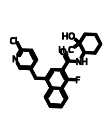 CC1(O)CCCCC1NC(=O)c1cc(Cc2ccc(Cl)nc2)c2ccccc2c1F